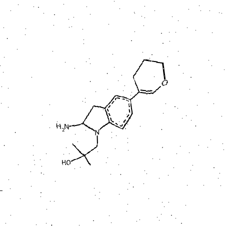 CC(C)(O)CN1c2ccc(C3=COCCC3)cc2CC1N